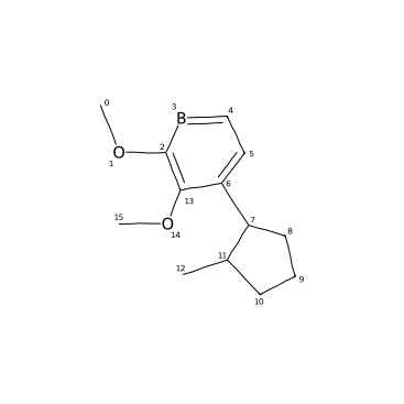 COc1bccc(C2CCCC2C)c1OC